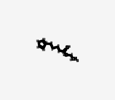 CCOC(=O)CCCCC1=CCC=C1